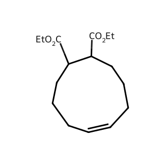 CCOC(=O)C1CCC/C=C\CCCC1C(=O)OCC